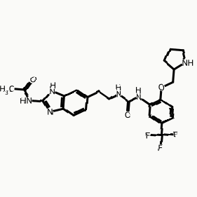 CC(=O)Nc1nc2ccc(CCNC(=O)Nc3cc(C(F)(F)F)ccc3OCC3CCCN3)cc2[nH]1